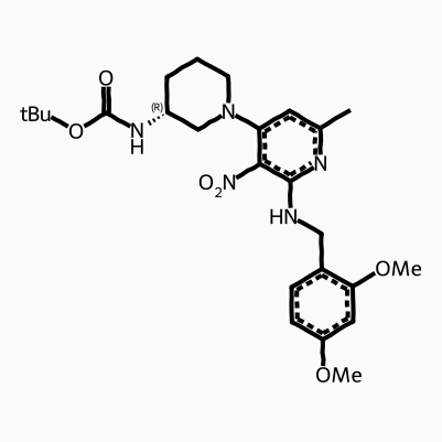 COc1ccc(CNc2nc(C)cc(N3CCC[C@@H](NC(=O)OC(C)(C)C)C3)c2[N+](=O)[O-])c(OC)c1